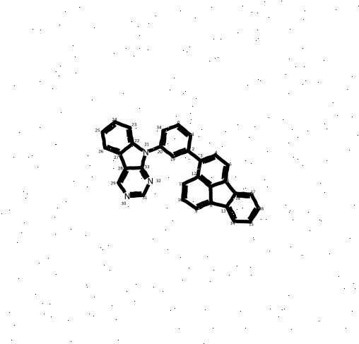 c1cc(-c2ccc3c4c(cccc24)-c2ccccc2-3)cc(-n2c3ccccc3c3cncnc32)c1